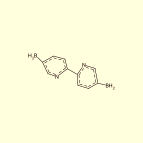 Bc1ccc(-c2ccc(B)cn2)nc1